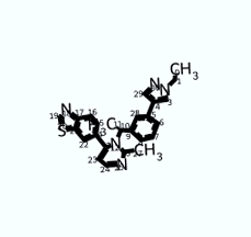 CCn1cc(-c2cccc([C@H](C)N3C(c4ccc5ncsc5c4)=CC=NC3C)c2)cn1